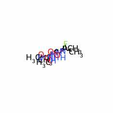 COC(=O)NC(CC/C=C/C(=O)N(C)C)C(=O)Nc1cccn(Cc2cc3cc(F)cc(CC(C)C)c3[nH]2)c1=O